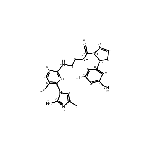 Cc1cn(-c2nc(NCCNC(=O)N3N=CC[C@H]3c3cc(F)cc(C#N)c3)ncc2F)c(C#N)n1